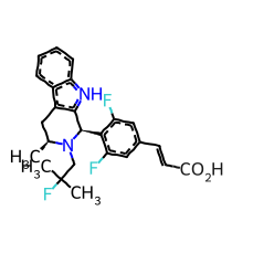 C[C@H]1Cc2c([nH]c3ccccc23)[C@@H](c2c(F)cc(/C=C/C(=O)O)cc2F)N1CC(C)(C)F